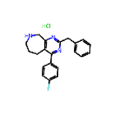 Cl.Fc1ccc(-c2nc(Cc3ccccc3)nc3c2CCCNC3)cc1